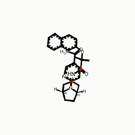 CC(C)(Oc1ccc2ccccc2c1)C(=O)N[C@H]1C[C@H]2CC[C@@H](C1)N2c1ccc(C(N)=O)cn1